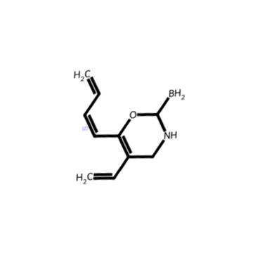 BC1NCC(C=C)=C(/C=C\C=C)O1